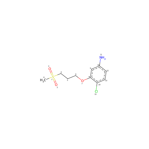 CS(=O)(=O)CCCOc1cc(N)ccc1Cl